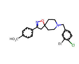 CCc1cc(CN2CCC3(CC2)CC(c2ccc(C(=O)O)cc2)=NO3)ccc1Cl